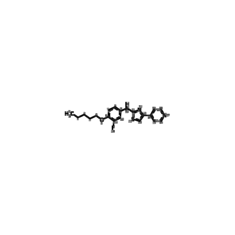 CCCCCOc1ccc(Nc2nc(-c3ccncc3)cs2)cc1F